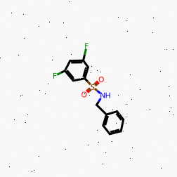 O=S(=O)(NCc1cc[c]cc1)c1cc(F)cc(F)c1